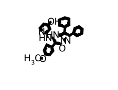 COc1ccc(-c2c(Nc3cc(O)ccn3)[nH]c3c(-c4ccccc4)c(-c4ccccc4)nn3c2=O)cc1